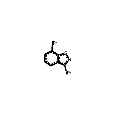 CC(C)c1nsc2c(C(C)C)cccc12